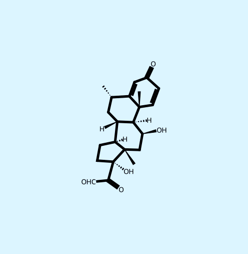 C[C@H]1C[C@@H]2[C@H]([C@@H](O)C[C@@]3(C)[C@H]2CC[C@]3(O)C(=O)C=O)[C@@]2(C)C=CC(=O)C=C12